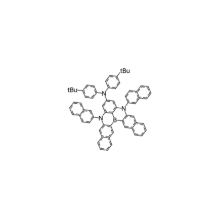 CC(C)(C)c1ccc(N(c2ccc(C(C)(C)C)cc2)c2cc3c4c(c2)N(c2ccc5ccccc5c2)c2cc5ccccc5cc2B4c2cc4ccccc4cc2N3c2ccc3ccccc3c2)cc1